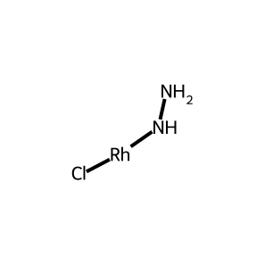 N[NH][Rh][Cl]